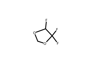 FC1OCOC1(F)F